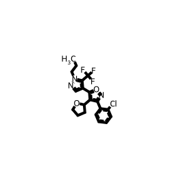 CCCn1ncc(-c2onc(-c3ccccc3Cl)c2C2CCCO2)c1C(F)(F)F